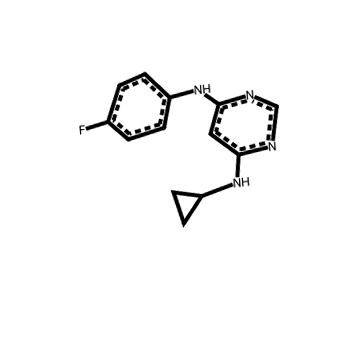 Fc1ccc(Nc2cc(NC3CC3)ncn2)cc1